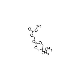 CC(C)OC(=O)OCOP1OCC(C)(C)CO1